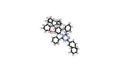 c1ccc(-c2nc(-c3ccc4ccccc4c3)nc(-c3ccccc3-c3ccc4c(c3)C3(c5ccccc5O4)c4ccccc4-c4ccccc43)n2)cc1